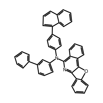 c1ccc(-c2cccc(N(c3ccc(-c4cccc5ccccc45)cc3)c3nc4c5ccccc5oc4c4ccccc34)c2)cc1